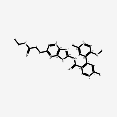 CCOC(=O)CCc1cnc2nc(NC(=O)c3cnc(C)cc3-c3cc(C)ncc3OC)sc2n1